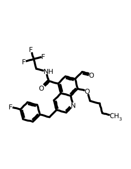 CCCCOc1c(C=O)cc(C(=O)NCC(F)(F)F)c2cc(Cc3ccc(F)cc3)cnc12